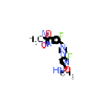 CNC(=O)c1ccc(N2CCN(Cc3cc4[nH]c(=O)c5c(C)noc5c4cc3F)CC2)c(F)n1